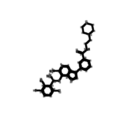 C[C@@H](Oc1c(N)ncc2c(-c3cccc(C(=O)NCCN4CCOCC4)c3)coc12)c1c(Cl)ccc(F)c1Cl